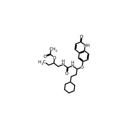 CCC(CNC(=O)NC(CCC1CCCCC1)Oc1ccc2[nH]c(=O)ccc2c1)OC(C)=O